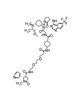 CC(C)N(C)[C@@H]1CC[C@H](N2CC[C@H](Nc3ncnc4ccc(C(F)(F)F)cc34)C2=O)[C@H](NC(=O)CNC(=O)C2CCC(NC(=O)CCOCCOCCNC(=O)[C@H]3CC(=O)N(C)[C@@H]3c3cccnc3)CC2)C1